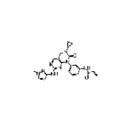 C=CC(=O)Nc1cccc(N2C(=O)N(C3CC3)Cc3cnc(Nc4ccn(C)n4)nc32)c1